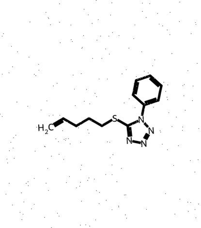 C=CCCCSc1nnnn1-c1ccccc1